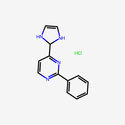 C1=CNC(c2ccnc(-c3ccccc3)n2)N1.Cl